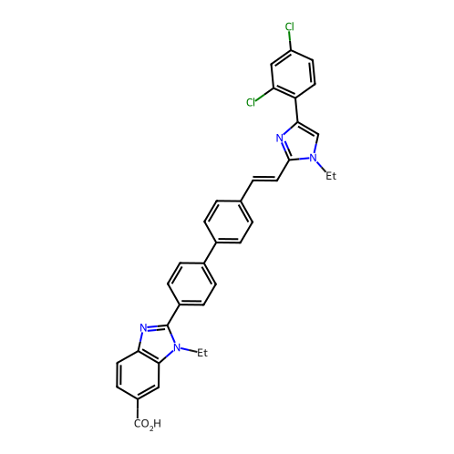 CCn1cc(-c2ccc(Cl)cc2Cl)nc1C=Cc1ccc(-c2ccc(-c3nc4ccc(C(=O)O)cc4n3CC)cc2)cc1